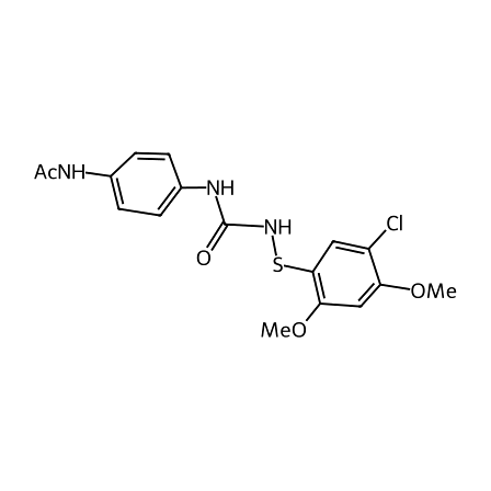 COc1cc(OC)c(SNC(=O)Nc2ccc(NC(C)=O)cc2)cc1Cl